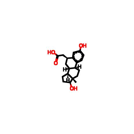 C[C@]12CC[C@@H]3c4ccc(O)cc4[C@H](CC(=O)O)C[C@H]3[C@@H]1CC[C@@H]2O